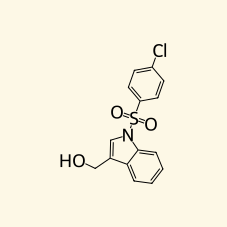 O=S(=O)(c1ccc(Cl)cc1)n1cc(CO)c2ccccc21